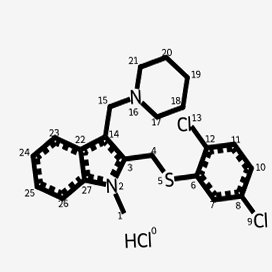 Cl.Cn1c(CSc2cc(Cl)ccc2Cl)c(CN2CCCCC2)c2ccccc21